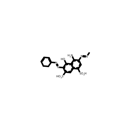 CN=Nc1cc(S(=O)(=O)O)c2cc(S(=O)(=O)O)c(N=NC3=CC=CCC3)c(O)c2c1N